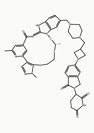 Cc1cc2cc(n1)-c1cnn(C)c1OCCC[C@@H](C)CN1/C(=N/C2=O)Nc2ccc(CN3CCN(CC4CN(c5ccc6c(c5)CN(C5CCC(=O)NC5=O)C6=O)C4)CC3)cc21